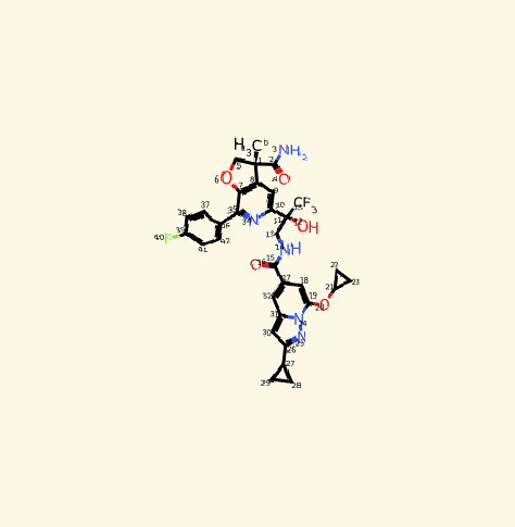 C[C@]1(C(N)=O)COc2c1cc(C(O)(CNC(=O)c1cc(OC3CC3)n3nc(C4CC4)cc3c1)C(F)(F)F)nc2-c1ccc(F)cc1